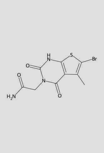 Cc1c(Br)sc2[nH]c(=O)n(CC(N)=O)c(=O)c12